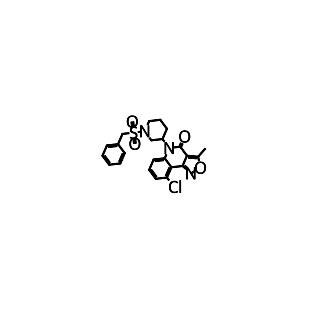 Cc1onc2c1c(=O)n(C1CCCN(S(=O)(=O)Cc3ccccc3)C1)c1cccc(Cl)c21